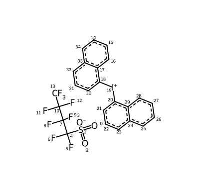 O=S(=O)([O-])C(F)(F)C(F)(F)C(F)(F)C(F)(F)F.c1ccc2c([I+]c3cccc4ccccc34)cccc2c1